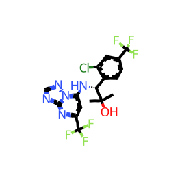 CC(C)(O)[C@H](Nc1cc(C(F)(F)F)nc2ncnn12)c1ccc(C(F)(F)F)cc1Cl